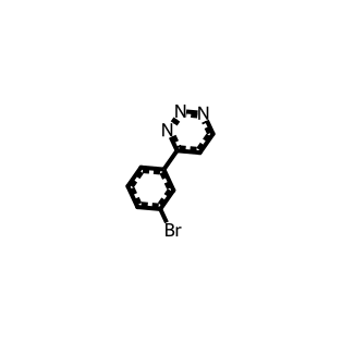 Brc1cccc(-c2ccnnn2)c1